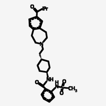 CC(C)C(=O)c1ccc2c(c1)CCN(CC[C@H]1CC[C@H](NC(=O)c3ccccc3NS(C)(=O)=O)CC1)CC2